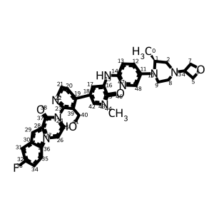 C[C@H]1CN(C2COC2)CCN1c1ccc(Nc2cc(-c3ccnc(-n4ccn5c(cc6cc(F)ccc65)c4=O)c3CO)cn(C)c2=O)nc1